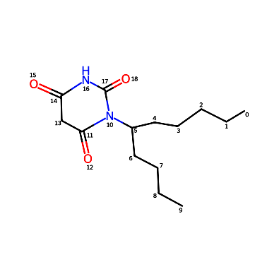 CCCCCC(CCCC)N1C(=O)CC(=O)NC1=O